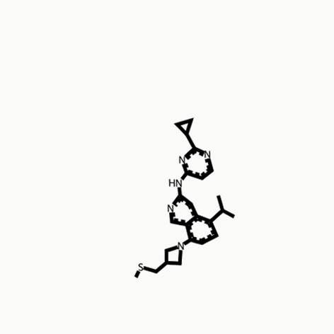 CSCC1CN(c2ccc(C(C)C)c3cc(Nc4ccnc(C5CC5)n4)ncc23)C1